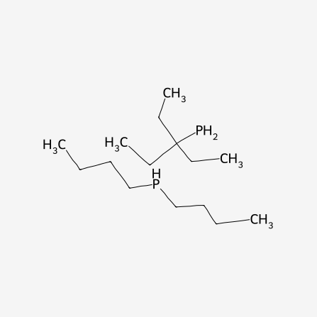 CCC(P)(CC)CC.CCCCPCCCC